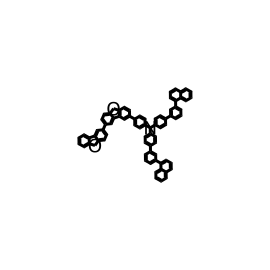 c1cc(-c2ccc(N(c3ccc(-c4cccc(-c5cccc6ccccc56)c4)cc3)c3ccc(-c4ccc5oc6ccc(-c7ccc8oc9ccccc9c8c7)cc6c5c4)cc3)cc2)cc(-c2cccc3ccccc23)c1